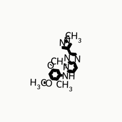 COc1cc(Nc2ccc3ncc(-c4cnn(C)c4)nc3n2)c(C)c(OC)c1